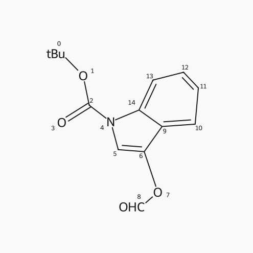 CC(C)(C)OC(=O)n1cc(OC=O)c2ccccc21